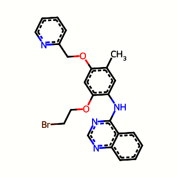 Cc1cc(Nc2ncnc3ccccc23)c(OCCBr)cc1OCc1ccccn1